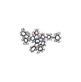 CC1(c2cccc3c2oc2cccc(N(c4ccc(-c5ccc(-c6ccccc6)cc5)cc4)c4ccc5c(c4)C(c4ccccc4)(c4ccccc4)c4ccccc4-5)c23)c2ccccc2-c2ccccc21